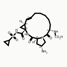 N[C@@H]1C[C@H]2C(=O)N[C@]3(C(=O)NS(=O)(=O)C4CC4)C[C@H]3/C=C/CCCCC[C@H](NC(=O)O)C(=O)N2C1